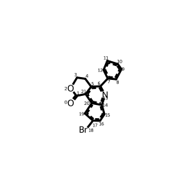 O=C1OCCc2c(-c3ccccc3)nc3ccc(Br)cc3c21